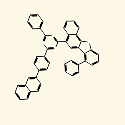 c1ccc(-c2nc(-c3ccc(-c4ccc5ccccc5c4)cc3)nc(-c3cc4c(oc5cccc(-c6ccccc6)c54)c4ccccc34)n2)cc1